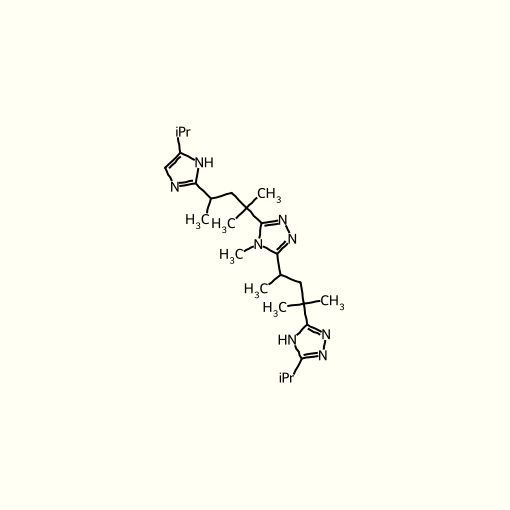 CC(C)c1cnc(C(C)CC(C)(C)c2nnc(C(C)CC(C)(C)c3nnc(C(C)C)[nH]3)n2C)[nH]1